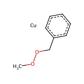 COOCc1ccccc1.[Cu]